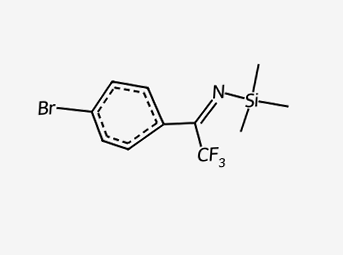 C[Si](C)(C)N=C(c1ccc(Br)cc1)C(F)(F)F